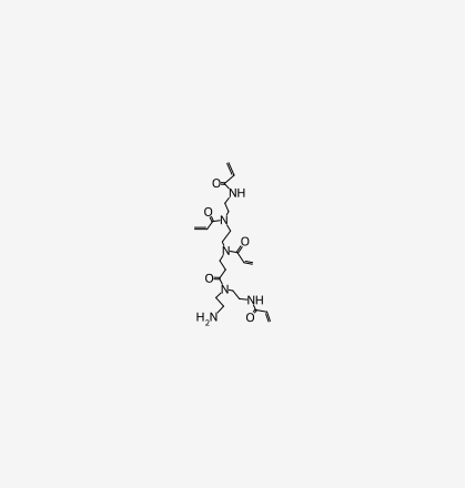 C=CC(=O)NCCN(CCN(CCC(=O)N(CCN)CCNC(=O)C=C)C(=O)C=C)C(=O)C=C